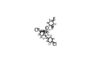 CS(CC(O)COc1ccc(F)cc1F)(c1ccc(Cl)cc1)c1ccc(Cl)cc1